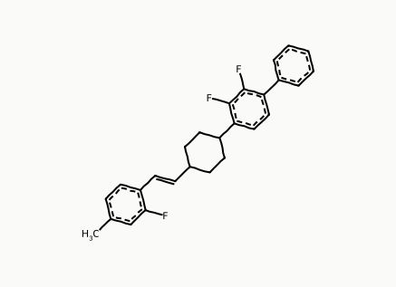 Cc1ccc(/C=C/C2CCC(c3ccc(-c4ccccc4)c(F)c3F)CC2)c(F)c1